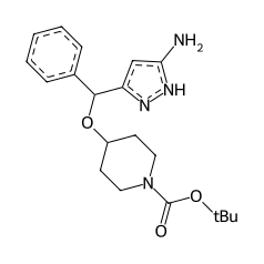 CC(C)(C)OC(=O)N1CCC(OC(c2ccccc2)c2cc(N)[nH]n2)CC1